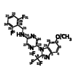 COc1ccc2nc(C(F)(F)F)n(-c3cnc(NCc4c(F)cccc4F)cn3)c2c1